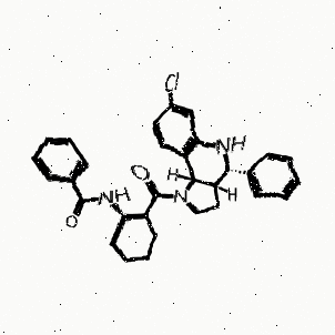 O=C(N[C@@H]1CCCCC1C(=O)N1CC[C@H]2[C@@H](c3ccccc3)Nc3cc(Cl)ccc3[C@H]21)c1ccccc1